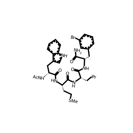 CSCC[C@H](NC(=O)[C@@H](Cc1c[nH]c2ccccc12)NC(C)=O)C(=O)N[C@@H](CC(C)C)C(=O)N[C@@H](Cc1cccc(Br)c1)C(N)=O